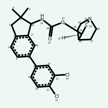 CC1(C)Cc2ccc(-c3ccc(Cl)c(Cl)c3)cc2C1NC(=O)O[C@H]1CN2CCC1CC2